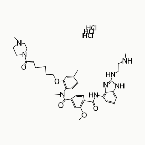 CNCCNc1nc2c(NC(=O)c3ccc(C(=O)N(C)c4ccc(C)cc4OCCCCCC(=O)N4CCN(C)CC4)cc3OC)cccc2[nH]1.Cl.Cl.Cl